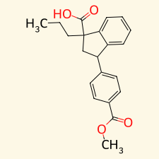 CCCC1(C(=O)O)CC(c2ccc(C(=O)OC)cc2)c2ccccc21